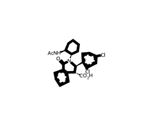 CC(=O)N[C@H]1CCCC[C@@H]1N1C(=O)c2ccccc2[C@@H](C(=O)O)[C@@H]1c1ccc(Cl)cc1Cl